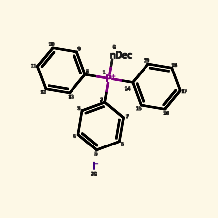 CCCCCCCCCC[P+](c1ccccc1)(c1ccccc1)c1ccccc1.[I-]